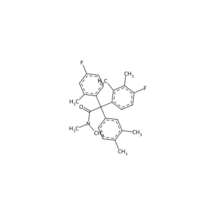 Cc1ccc(C(C(=O)N(C)C)(c2ccc(F)cc2C)c2ccc(F)c(C)c2C)cc1C